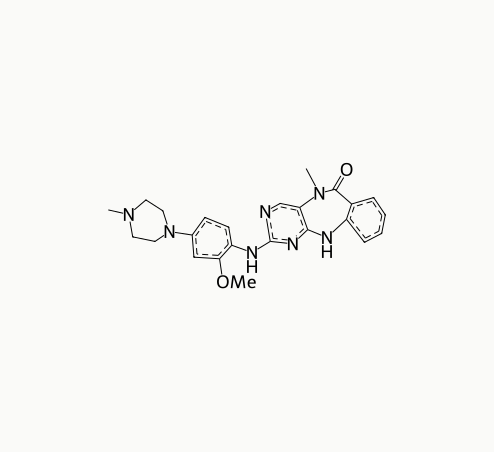 COc1cc(N2CCN(C)CC2)ccc1Nc1ncc2c(n1)Nc1ccccc1C(=O)N2C